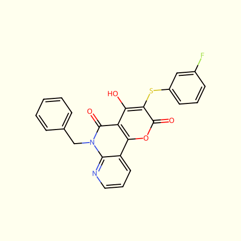 O=c1oc2c(c(O)c1Sc1cccc(F)c1)c(=O)n(Cc1ccccc1)c1ncccc21